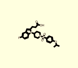 CC(C)Oc1ccc(S(=O)(=O)N2CCC(n3c(CCC(=O)O)cc4cc(F)ccc43)CC2)cc1